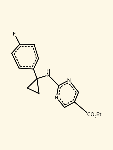 CCOC(=O)c1cnc(NC2(c3ccc(F)cc3)CC2)nc1